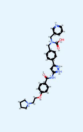 O=C(Nc1cc(-c2ccc(CN(Cc3cccnc3)C(=O)O)cc2)n[nH]1)c1ccc(OCCN2CCCC2)cc1